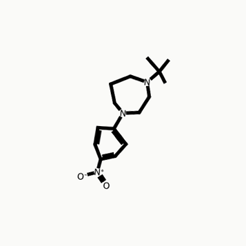 CC(C)(C)N1CCCN(c2ccc([N+](=O)[O-])cc2)CC1